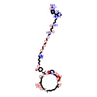 CO[C@H]1C[C@@H]2CC[C@@H](C)[C@@](O)(O2)C(=O)C(=O)N2CCCC[C@H]2C(=O)O[C@H]([C@H](C)C[C@@H]2CC[C@@H](OCCCCc3cn(CCOCCOCCOCCOCCNC(=O)CCC(=O)NCCCCn4nc(-c5ccc6oc(N)nc6c5)c5c(N)ncnc54)nn3)[C@H](OC)C2)CC(=O)[C@H](C)/C=C(\C)[C@@H](O)[C@@H](O)C(=O)[C@H](C)C[C@H](C)/C=C/C=C/C=C/1C